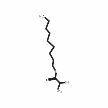 CCCCCCCCCOC(=O)C(C)S